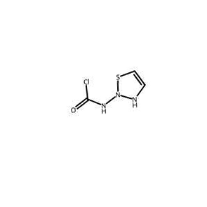 O=C(Cl)NN1NC=CS1